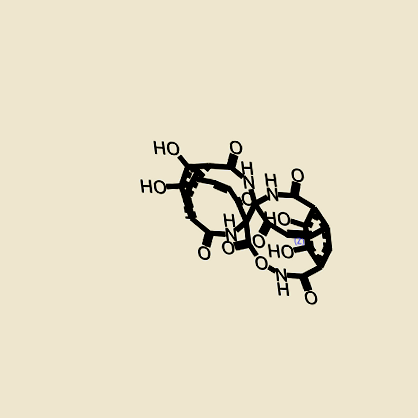 O=C1NC23C(=O)C=Cc4cc1c(O)c(O)c4C(=O)NC21NC(=O)c2c(cc(c(O)c2O)C(=O)NOC3=O)/C=C\C1=O